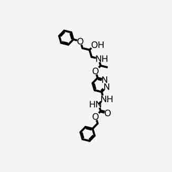 CC(NCC(O)COc1ccccc1)Oc1ccc(NNC(=O)OCc2ccccc2)nn1